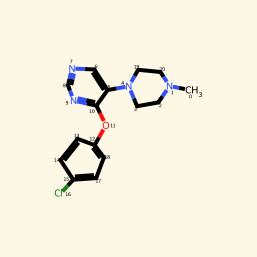 CN1CCN(c2cncnc2Oc2ccc(Cl)cc2)CC1